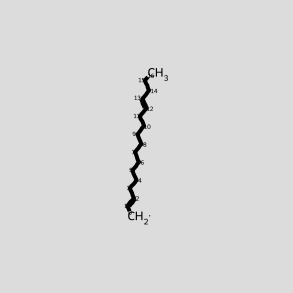 [CH2]/C=C/CCCCCCCCC/C=C/CCC